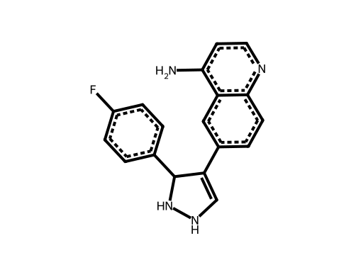 Nc1ccnc2ccc(C3=CNNC3c3ccc(F)cc3)cc12